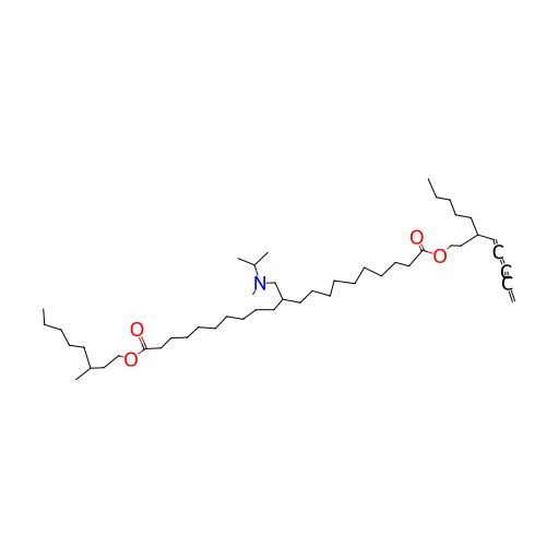 C=C=C=C=CC(CCCCC)CCOC(=O)CCCCCCCCCC(CCCCCCCCCC(=O)OCCC(C)CCCCC)CN(C)C(C)C